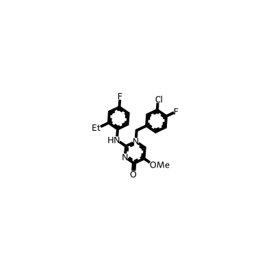 CCc1cc(F)ccc1Nc1nc(=O)c(OC)cn1Cc1ccc(F)c(Cl)c1